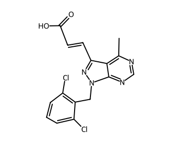 Cc1ncnc2c1c(/C=C/C(=O)O)nn2Cc1c(Cl)cccc1Cl